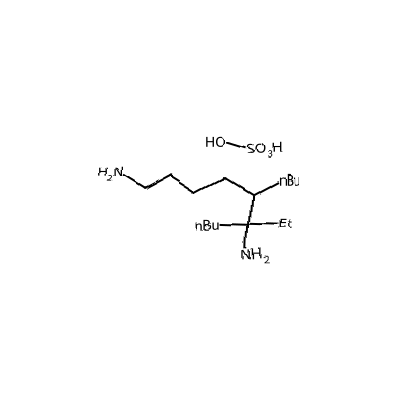 CCCCC(CCCCN)C(N)(CC)CCCC.O=S(=O)(O)O